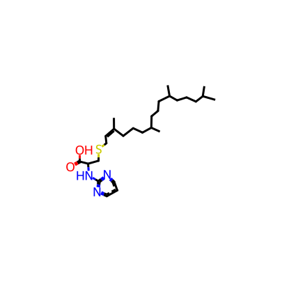 CC(=CCSCC(Nc1ncccn1)C(=O)O)CCCC(C)CCCC(C)CCCC(C)C